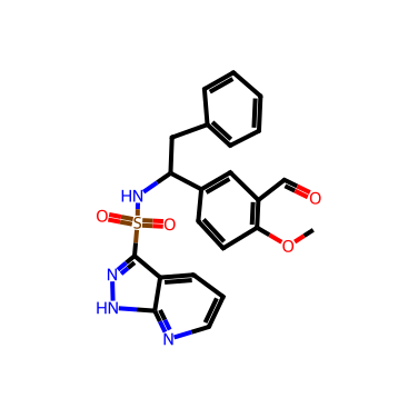 COc1ccc(C(Cc2ccccc2)NS(=O)(=O)c2n[nH]c3ncccc23)cc1C=O